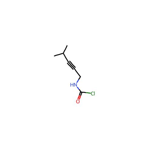 CC(C)C#CCNC(=O)Cl